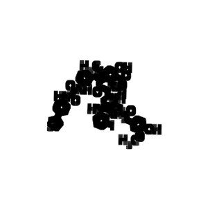 COc1cc(CC(=O)NC[C@H](N[C@@H](CCNc2cccc(I)c2)C(C=O)Nc2c(C(=O)O)c(O)cc3c2c(I)c(-c2cccc(NC(=O)C(=O)Nc4ccc(-c5ccsc5)cc4)c2)n3C)C(N)=O)ccc1O